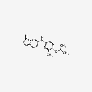 Cc1nc(Nc2ccc3cc[nH]c3c2)ccc1OC(C)C